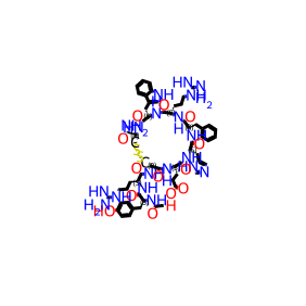 CC(=O)N[C@@H](Cc1ccc(O)cc1)C(=O)N[C@@H](CCCNC(=N)N)C(=O)N[C@H]1CSSC[C@@H](C(N)=O)NC(=O)[C@H](Cc2c[nH]c3ccccc23)NC(=O)[C@H](CCCNC(=N)N)NC(=O)[C@@H](Cc2ccccc2)NC(=O)[C@H](Cc2cnc[nH]2)NC(=O)[C@H](CCC(=O)O)NC1=O